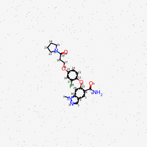 Cn1ncc2cc(C(N)=O)c(Oc3ccc(OCCC(=O)N4CCCC4)cc3F)cc21